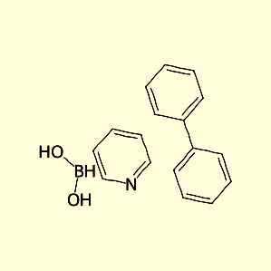 OBO.c1ccc(-c2ccccc2)cc1.c1ccncc1